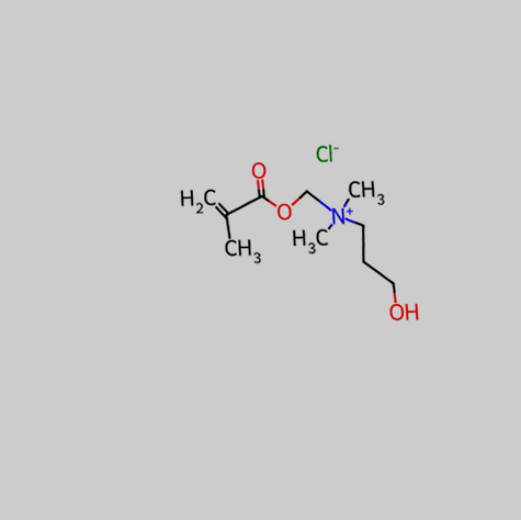 C=C(C)C(=O)OC[N+](C)(C)CCCO.[Cl-]